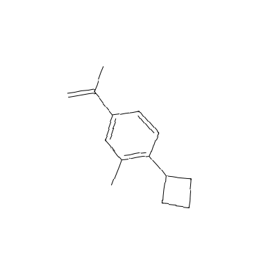 C=C(C)c1ccc(C2CCC2)c(C)c1